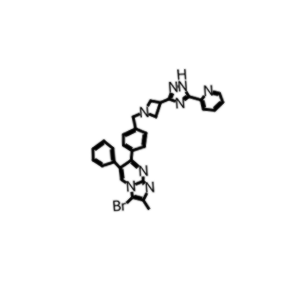 Cc1nc2nc(-c3ccc(CN4CC(c5n[nH]c(-c6ccccn6)n5)C4)cc3)c(-c3ccccc3)cn2c1Br